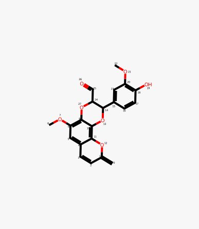 C=C1C=Cc2cc(OC)c3c(c2O1)OC(c1ccc(O)c(OC)c1)C(C=O)O3